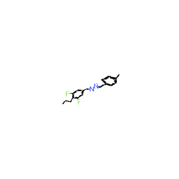 CCCc1c(F)cc(/C=N/N=C/c2ccc(C)cc2)cc1F